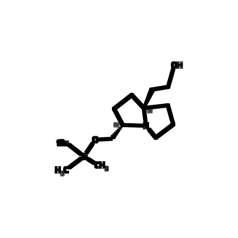 CC(C)(C)[Si](C)(C)OC[C@@H]1CC[C@]2(CCO)CCCN12